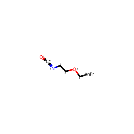 CCCCOCCN=C=O